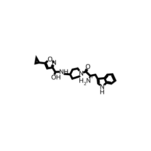 N[C@H](Cc1c[nH]c2ccccc12)C(=O)N1CCC(CNC(O)c2cc(C3CC3)on2)CC1